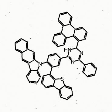 c1ccc(C2=NC(c3cccc4c5ccccc5c5ccccc5c34)NC(c3ccc(-n4c5ccccc5c5cc6ccccc6cc54)c(-c4cccc5c4sc4ccccc45)c3)=N2)cc1